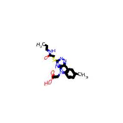 CCCNC(=O)CSc1nnc2c3cc(C)ccc3n(CC(=O)O)c2n1